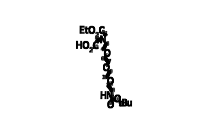 CCOC(=O)CN(CCOCCOCCOCCNC(=O)OC(C)(C)C)CC(=O)O